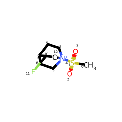 CS(=O)(=O)[N+]12CC[C](CC1)C(F)C2